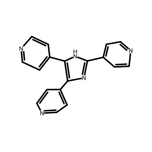 c1cc(-c2nc(-c3ccncc3)c(-c3ccncc3)[nH]2)ccn1